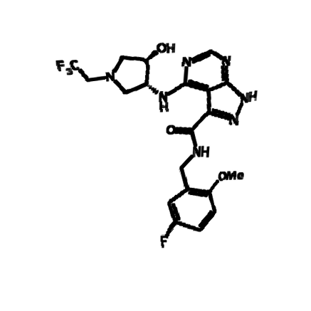 COc1ccc(F)cc1CNC(=O)c1n[nH]c2ncnc(N[C@@H]3CN(CC(F)(F)F)C[C@H]3O)c12